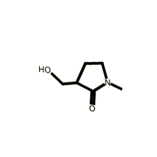 CN1CCC(CO)C1=O